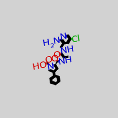 CC(NC(=O)[C@H]1CC(c2ccccc2)CN1C(=O)O)C(=O)NCc1cc(Cl)cnc1N